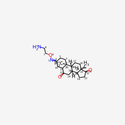 C[C@]12CCC(=NOCCN)CC1C(=O)C[C@@H]1[C@H]2CC[C@]2(C)C(=O)CC[C@@H]12